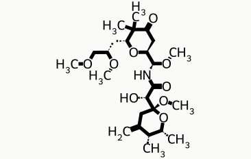 C=C1C[C@](OC)([C@H](O)C(=O)N[C@@H](OC)[C@@H]2CC(=O)C(C)(C)[C@@H](C[C@@H](COC)OC)O2)O[C@H](C)[C@@H]1C